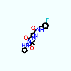 CN1C(=O)c2cc(C(=O)NCc3cccc(F)c3)nn2CC1(C)C(=O)NC1CCCC1